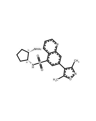 CC(=O)N[C@H]1CCC[C@H]1NS(=O)(=O)c1cc(-c2c(C)noc2C)cc2ncccc12